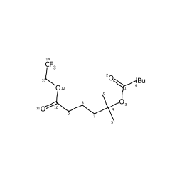 CCC(C)C(=O)OC(C)(C)CCCC(=O)OCC(F)(F)F